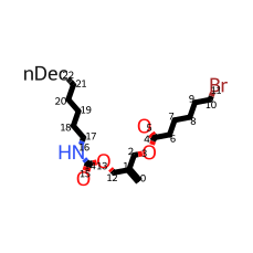 C=C(COC(=O)CCCCCBr)COC(=O)NCCCCCCCCCCCCCCC